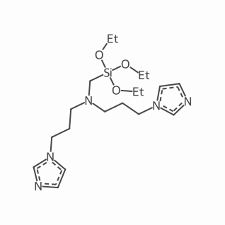 CCO[Si](CN(CCCn1ccnc1)CCCn1ccnc1)(OCC)OCC